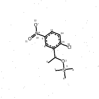 CC(O[Si](C)(C)C)c1cc([N+](=O)[O-])ccc1Cl